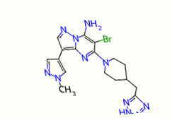 Cn1cc(-c2cnn3c(N)c(Br)c(N4CCC(Cc5nn[nH]n5)CC4)nc23)cn1